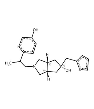 CC(CN1C[C@@H]2C[C@@](O)(Cc3cccs3)C[C@@H]2C1)c1ccc(O)cn1